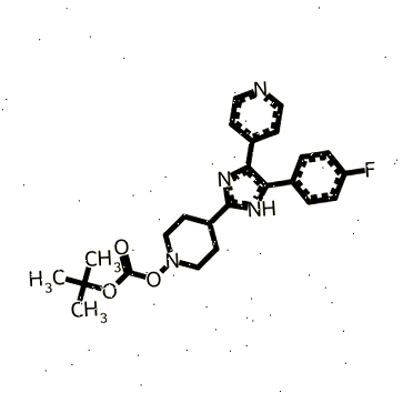 CC(C)(C)OC(=O)ON1CCC(c2nc(-c3ccncc3)c(-c3ccc(F)cc3)[nH]2)CC1